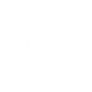 CCCn1sccc1=O.O=C(O)CCl